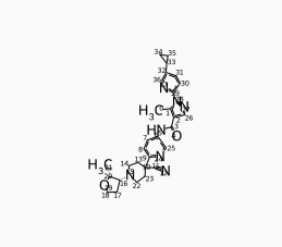 Cc1c(C(=O)Nc2ccc(C3(C#N)CCN([C@@H]4CCO[C@@H]4C)CC3)nc2)cnn1-c1ccc(C2CC2)cn1